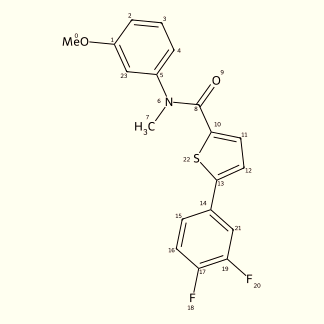 COc1cccc(N(C)C(=O)c2ccc(-c3ccc(F)c(F)c3)s2)c1